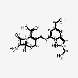 NC1C(=O)N2C(C(=O)O)=C(CSC3=CC(CO)=NC4=CN(CO)NN43)CS[C@H]12